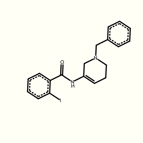 O=C(NC1=CCCN(Cc2ccccc2)C1)c1ccccc1I